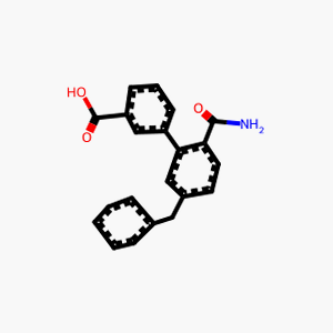 NC(=O)c1ccc(Cc2ccccc2)cc1-c1cccc(C(=O)O)c1